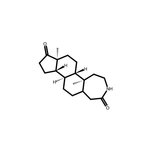 C[C@]12CCNC(=O)CC1CC[C@@H]1[C@@H]2CC[C@]2(C)C(=O)CC[C@@H]12